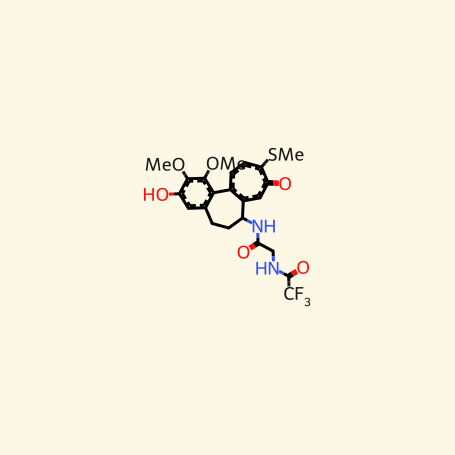 COc1c(O)cc2c(c1OC)-c1ccc(SC)c(=O)cc1C(NC(=O)CNC(=O)C(F)(F)F)CC2